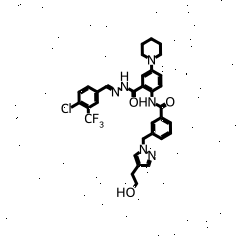 O=C(Nc1ccc(N2CCCCC2)cc1C(=O)NN=Cc1ccc(Cl)c(C(F)(F)F)c1)c1cccc(Cn2cc(CCO)cn2)c1